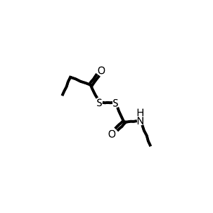 CCC(=O)SSC(=O)NC